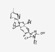 CCn1c(CO)nn(-c2cc3c(C(C)C)cn(-c4nc(C)ccc4Cl)c(=O)c3cc2F)c1=O